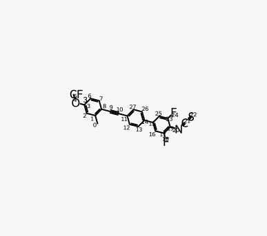 Cc1cc(OC(F)(F)F)ccc1C#Cc1ccc(-c2cc(F)c(N=C=S)c(F)c2)cc1